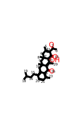 CC(=O)C1=C(C)CC2(C)CC3(C)Cc4c(CCC(C)C)ccc(C)c4C(=O)C3=C(C)C2(O)C1=O